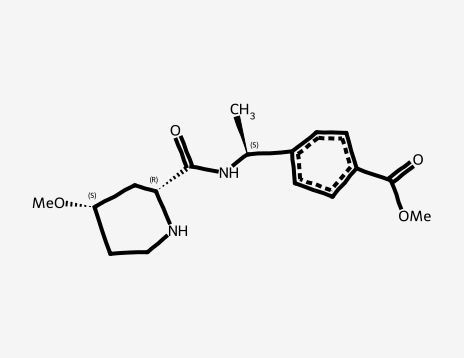 COC(=O)c1ccc([C@H](C)NC(=O)[C@H]2C[C@@H](OC)CCN2)cc1